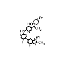 C=C(c1ccc(Nc2ncc(F)c(-c3cc(F)c4nc(C)n(C(C)C)c4c3)n2)nc1)C1(O)CCN(CC)CC1